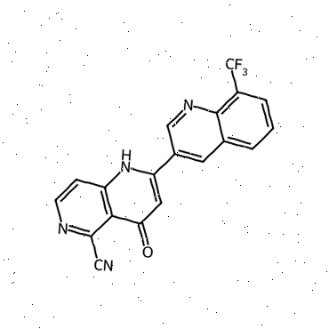 N#Cc1nccc2[nH]c(-c3cnc4c(C(F)(F)F)cccc4c3)cc(=O)c12